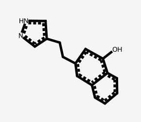 Oc1cc(CCc2cn[nH]c2)cc2ccccc12